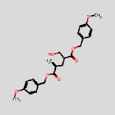 C=C(CC(CO)C(=O)OCc1ccc(OC)cc1)C(=O)OCc1ccc(OC)cc1